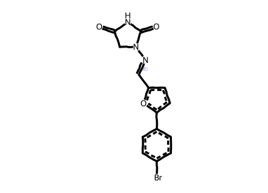 O=C1CN(/N=C/c2ccc(-c3ccc(Br)cc3)o2)C(=O)N1